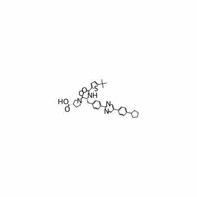 CC(C)(C)c1ccc(C(=O)N[C@@H](Cc2ccc(-c3ncc(-c4ccc(C5CCCC5)cc4)cn3)cc2)C(=O)N2CC[C@H](C(=O)O)C2)s1